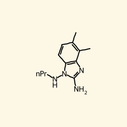 CCCNn1c(N)nc2c(C)c(C)ccc21